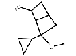 CC1CC2CC(OI)(C3CC3)C12